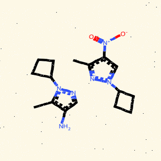 Cc1c(N)cnn1C1CCC1.Cc1nn(C2CCC2)cc1[N+](=O)[O-]